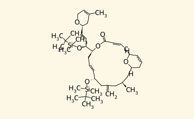 C=C1C[C@H](C)C[C@@H]2CC=C[C@@H](C/C=C\C(=O)O[C@H]([C@H](/C=C/[C@@H]3CC(C)=CCO3)O[Si](C)(C)C(C)(C)C)C/C=C/[C@@H](O[Si](C)(C)C(C)(C)C)C1)O2